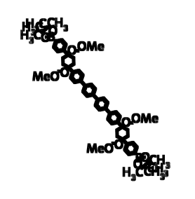 COCOC1(c2ccc(B3OC(C)(C)C(C)(C)O3)cc2)CCC(OCOC)(c2ccc(-c3ccc(-c4ccc(-c5ccc(C6(OCOC)CCC(OCOC)(c7ccc(B8OC(C)(C)C(C)(C)O8)cc7)CC6)cc5)cc4)cc3)cc2)CC1